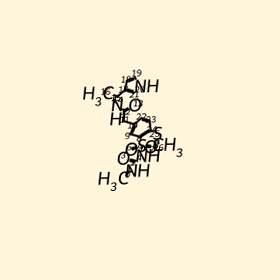 CNC(=O)NS(=O)(=O)c1cc(CC(=O)NC(C)c2cc[nH]c2)ccc1SC